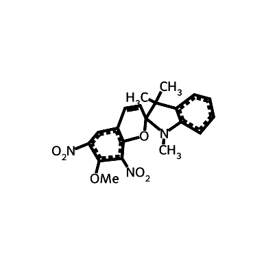 COc1c([N+](=O)[O-])cc2c(c1[N+](=O)[O-])OC1(C=C2)N(C)c2ccccc2C1(C)C